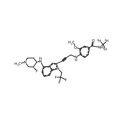 [2H]C([2H])([2H])NC(=O)c1ccc(NCC#Cc2cc3c(N[C@@H]4CCN(C)C[C@@H]4F)cccc3n2CC(F)(F)F)c(OC)c1